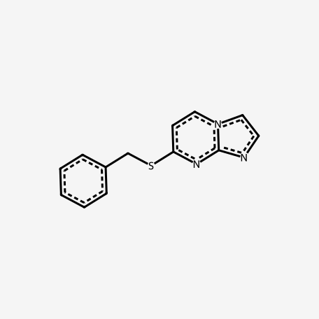 c1ccc(CSc2ccn3ccnc3n2)cc1